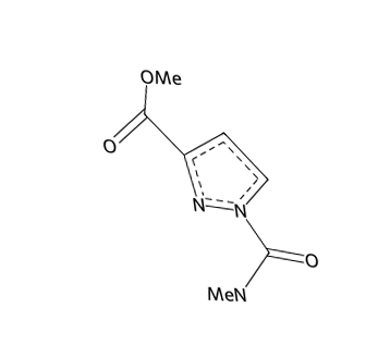 CNC(=O)n1ccc(C(=O)OC)n1